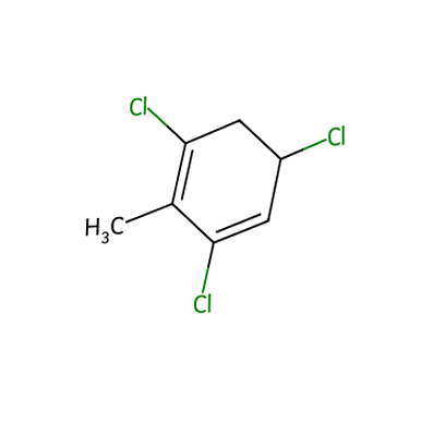 CC1=C(Cl)CC(Cl)C=C1Cl